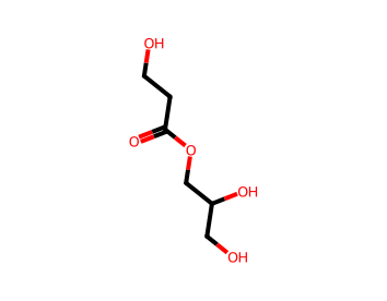 O=C(CCO)OCC(O)CO